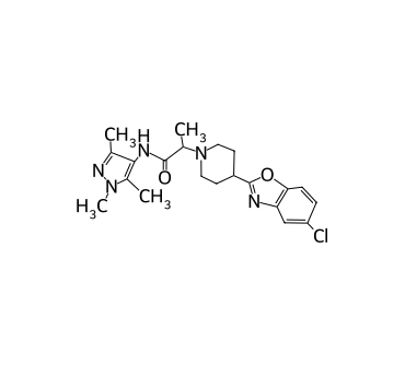 Cc1nn(C)c(C)c1NC(=O)C(C)N1CCC(c2nc3cc(Cl)ccc3o2)CC1